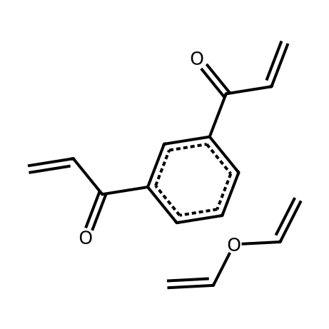 C=CC(=O)c1cccc(C(=O)C=C)c1.C=COC=C